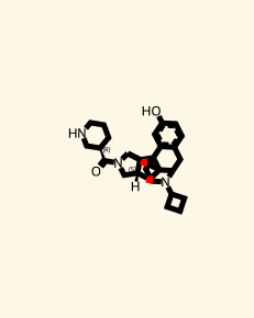 O=C([C@@H]1CCCNC1)N1C[C@H]2CC34CCC1C2C31CCN(C2CCC2)C4Cc2ccc(O)cc21